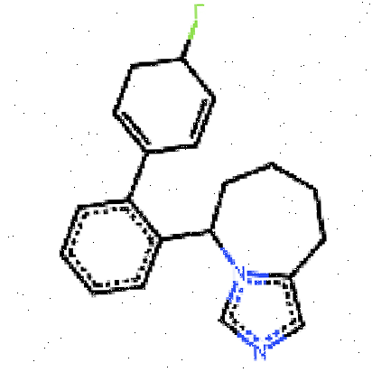 FC1C=CC(c2ccccc2C2CCCCc3cncn32)=CC1